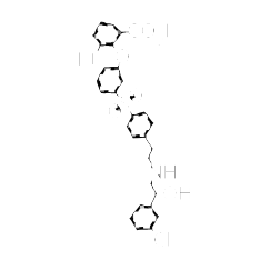 CCc1cccc(C(=O)O)c1Oc1cccc(S(=O)(=O)c2ccc(CCNC[C@H](O)c3cccc(Cl)c3)cc2)c1